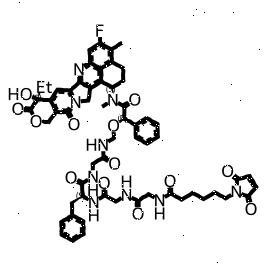 CC[C@@]1(O)C(=O)OCc2c1cc1n(c2=O)Cc2c-1nc1cc(F)c(C)c3c1c2[C@@H](N(C)C(=O)[C@H](OCNC(=O)CNC(=O)[C@H](Cc1ccccc1)NC(=O)CNC(=O)CNC(=O)CCCCCN1C(=O)C=CC1=O)c1ccccc1)CC3